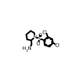 NCC1CCCCN1S(=O)(=O)c1ccc(Cl)cc1Cl